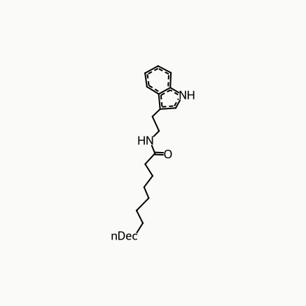 CCCCCCCCCCCCCCCCC(=O)NCCc1c[nH]c2ccccc12